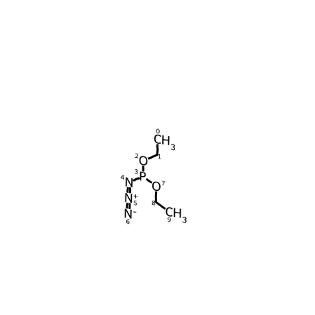 CCOP(N=[N+]=[N-])OCC